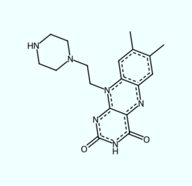 Cc1cc2nc3c(=O)[nH]c(=O)nc-3n(CCN3CCNCC3)c2cc1C